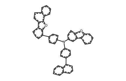 c1ccc2c(-c3ccc(N(c4ccc(-c5cccc6c5oc5c7ccccc7ccc65)cc4)c4ccc5oc6ccccc6c5c4)cc3)cccc2c1